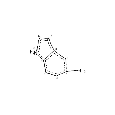 Ic1ccc2[nH][c]nc2c1